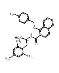 Cc1cc(C)c(C[C@H](NC(=O)c2ccc3ccccc3c2OCc2ccc(C(F)(F)F)cc2)C(=O)O)c(C)c1